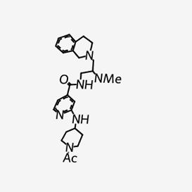 CNC(CNC(=O)c1ccnc(NC2CCN(C(C)=O)CC2)c1)CN1CCc2ccccc2C1